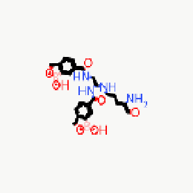 N[C@H](C=O)CCCNC(CNC(=O)c1ccc2c(c1)B(O)OC2)NC(=O)c1ccc2c(c1)B(O)OC2